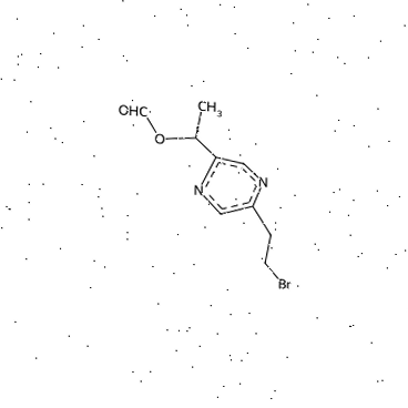 CC(OC=O)c1cnc(CCBr)cn1